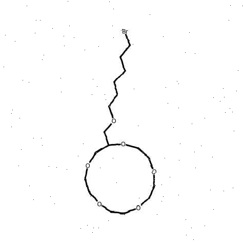 BrCCCCCCOCC1COCCOCCOCCOCCO1